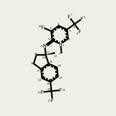 Cn1cc(C(F)(F)F)cc(F)/c1=N/[C@@]1(C)CCc2cc(C(F)(F)F)ccc21